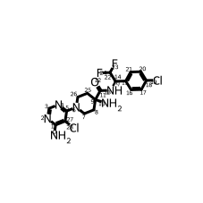 Nc1ncnc(N2CCC(N)(C(=O)N[C@H](c3ccc(Cl)cc3)C(F)F)CC2)c1Cl